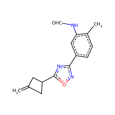 C=C1CC(c2nc(-c3ccc(C)c(NC=O)c3)no2)C1